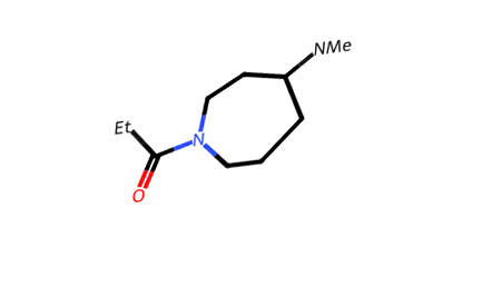 CCC(=O)N1CCCC(NC)CC1